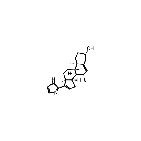 C[C@@H]1C=C2C[C@@H](O)CC[C@]2(C)[C@H]2CC[C@]3(C)C(c4ncc[nH]4)=CC[C@H]3[C@H]12